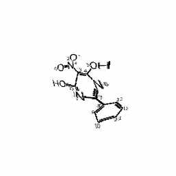 O=[N+]([O-])c1c(O)nc(-c2ccccc2)nc1O